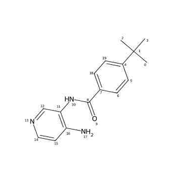 CC(C)(C)c1ccc(C(=O)Nc2cnccc2N)cc1